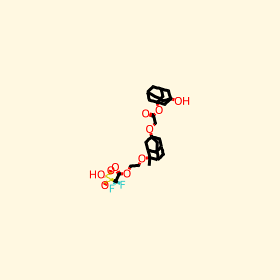 CC1(OCCOC(=O)C(F)(F)S(=O)(=O)O)C2CC3CC1CC(OCC(=O)OC14CC5CC(CC(O)(C5)C1)C4)(C3)C2